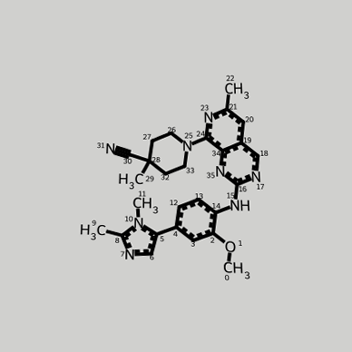 COc1cc(-c2cnc(C)n2C)ccc1Nc1ncc2cc(C)nc(N3CCC(C)(C#N)CC3)c2n1